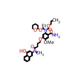 C=CCOC(=O)N(c1cc(OCCCC(=O)N(C)c2cc(O)c3ccccc3c2)c(OC)cc1C(N)=O)C(CC)OC1CCCCO1